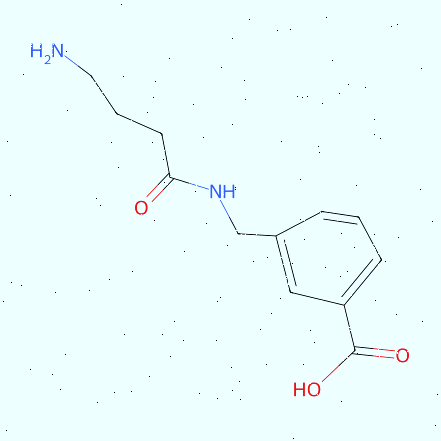 NCCCC(=O)NCc1cccc(C(=O)O)c1